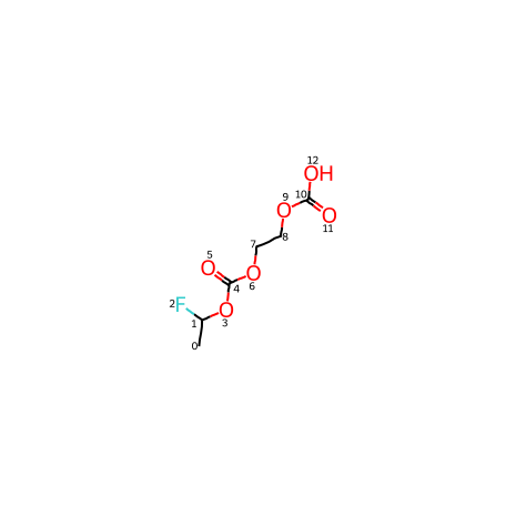 CC(F)OC(=O)OCCOC(=O)O